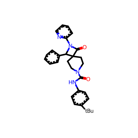 CC(C)(C)c1ccc(NC(=O)N2CCC3(CC2)C(=O)N(c2ccccn2)C3c2ccccc2)cc1